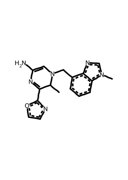 CC1C(c2ncco2)=NC(N)=CN1Cc1cccc2c1ncn2C